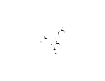 CC(C)(CO)[C@H](O)C(=O)NCCC(=O)O.O=C([O-])[O-].[Ca+2]